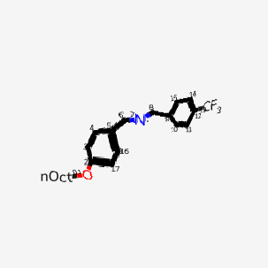 CCCCCCCCOc1ccc(C[N]Cc2ccc(C(F)(F)F)cc2)cc1